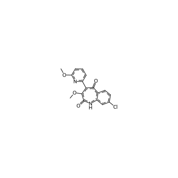 COc1cccc(-c2c(OC)c(=O)[nH]c3cc(Cl)ccc3c2=O)n1